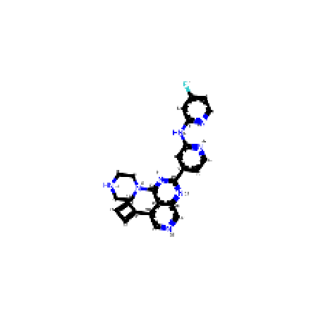 Fc1ccnc(Nc2cc(-c3nc(N4CCNCC4)c4c(C5=CC=C5)cncc4n3)ccn2)c1